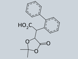 CC1(C)OC(=O)C(C(C(=O)O)c2ccccc2-c2ccccc2)O1